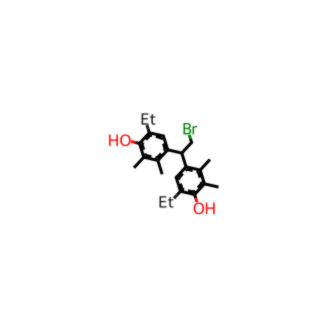 CCc1cc(C(CBr)c2cc(CC)c(O)c(C)c2C)c(C)c(C)c1O